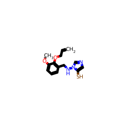 C=CCOc1c(CNn2cncc2S)cccc1OC